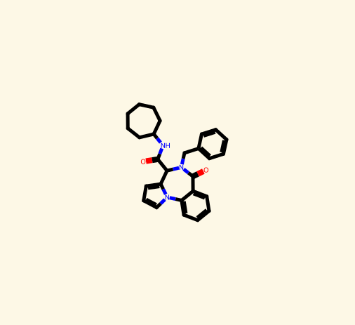 O=C(NC1CCCCCC1)C1c2cccn2-c2ccccc2C(=O)N1Cc1ccccc1